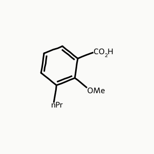 CCCc1cccc(C(=O)O)c1OC